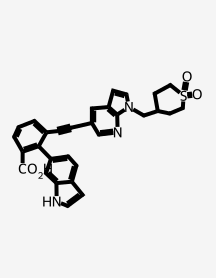 O=C(O)c1cccc(C#Cc2cnc3c(ccn3CC3CCS(=O)(=O)CC3)c2)c1-c1ccc2cc[nH]c2c1